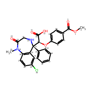 COC(=O)c1ccc(O[C@H](C(=O)O)[C@@]2(c3ccccc3)NCC(=O)N(C)c3ccc(Cl)cc32)cc1